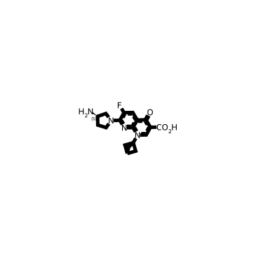 N[C@H]1CCN(c2nc3c(cc2F)c(=O)c(C(=O)O)cn3C23CC(C2)C3)C1